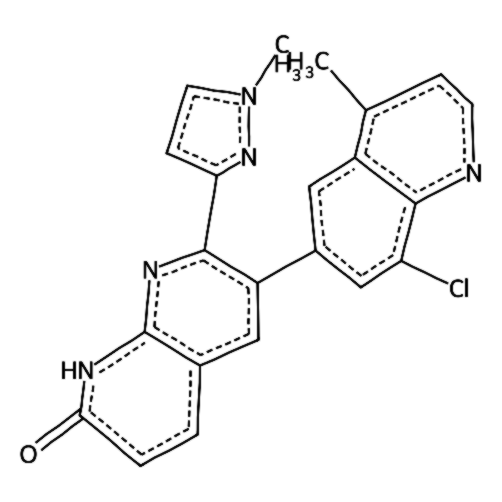 Cc1ccnc2c(Cl)cc(-c3cc4ccc(=O)[nH]c4nc3-c3ccn(C)n3)cc12